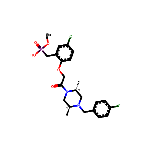 CCC(C)OP(=O)(O)Cc1cc(Cl)ccc1OCC(=O)N1C[C@H](C)N(Cc2ccc(F)cc2)C[C@H]1C